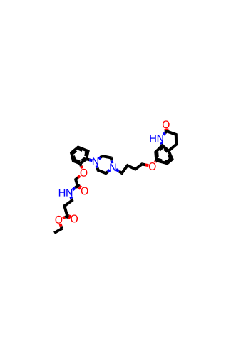 CCOC(=O)CCNC(=O)COc1ccccc1N1CCN(CCCCOc2ccc3c(c2)NC(=O)CC3)CC1